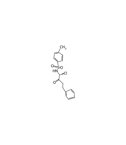 Cc1ccc(S(=O)(=O)N[C@@H](Cl)C(=O)CCc2ccccc2)cc1